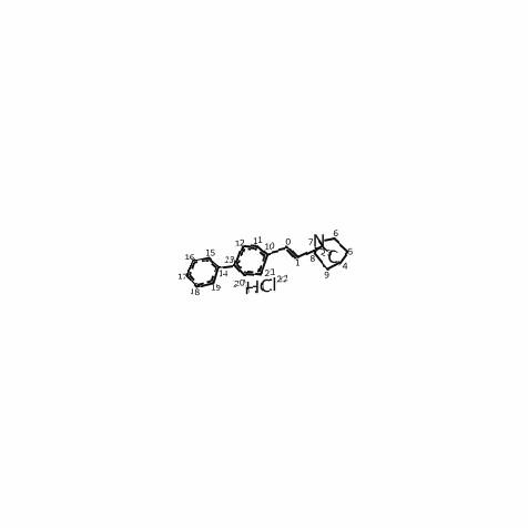 C(=CC1CC2CCN1CC2)c1ccc(-c2ccccc2)cc1.Cl